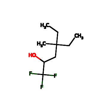 CCC(C)(CC)CC(O)C(F)(F)F